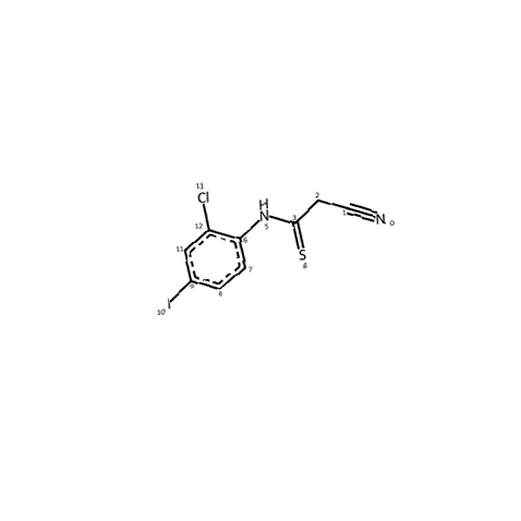 N#CCC(=S)Nc1ccc(I)cc1Cl